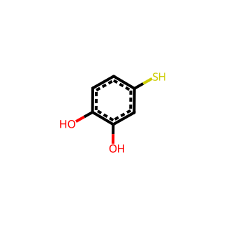 Oc1ccc(S)cc1O